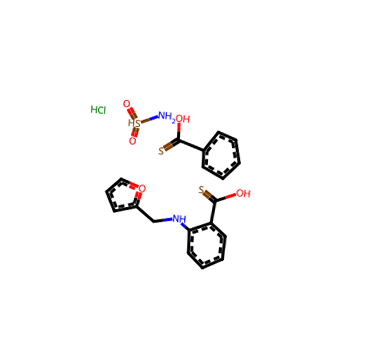 Cl.N[SH](=O)=O.OC(=S)c1ccccc1.OC(=S)c1ccccc1NCc1ccco1